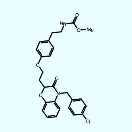 CC(C)(C)OC(=O)NCCc1ccc(OCCC2Oc3ccccc3N(Cc3ccc(Cl)cc3)C2=O)cc1